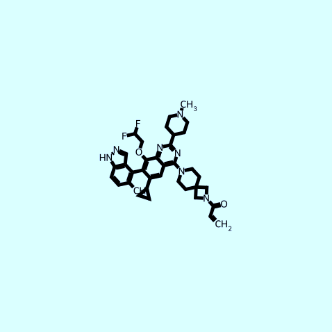 C=CC(=O)N1CC2(CCN(c3nc(C4CCN(C)CC4)nc4c(OCC(F)F)c(-c5c(C)ccc6[nH]ncc56)c(C5CC5)cc34)CC2)C1